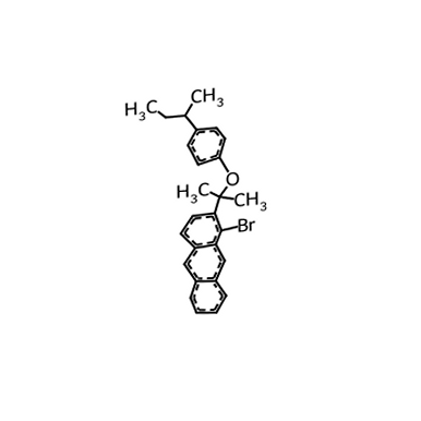 CCC(C)c1ccc(OC(C)(C)c2ccc3cc4ccccc4cc3c2Br)cc1